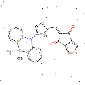 [CH3][Ge]1([CH3])[c]2ccccc2N(c2ccc(C=C3C(=O)c4cscc4C3=O)[se]2)c2cccc[c]21